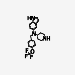 FC(F)(F)Oc1ccc(CN(c2ccc3[nH]ccc3c2)C2CCNCC2)cc1